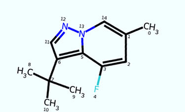 Cc1cc(F)c2c(C(C)(C)C)cnn2c1